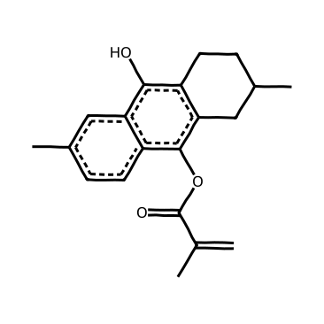 C=C(C)C(=O)Oc1c2c(c(O)c3cc(C)ccc13)CCC(C)C2